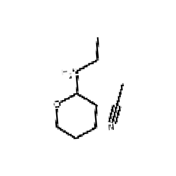 CC#N.CC[SiH2]C1CCCCO1